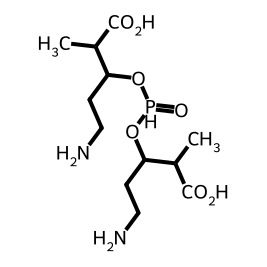 CC(C(=O)O)C(CCN)O[PH](=O)OC(CCN)C(C)C(=O)O